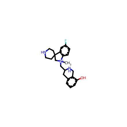 C[N+]1(CC2Cc3cccc(O)c3CN2)CC2(CCNCC2)c2cc(F)ccc21